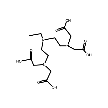 CCN(CCN(CC(=O)O)CC(=O)O)CCN(CC(=O)O)CC(=O)O